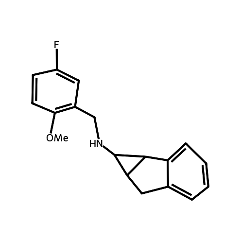 COc1ccc(F)cc1CNC1C2Cc3ccccc3C21